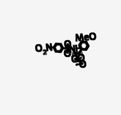 COc1cccc([C@@H](OS(C)(=O)=O)[C@H](C)NS(=O)(=O)c2ccc([N+](=O)[O-])cc2)c1